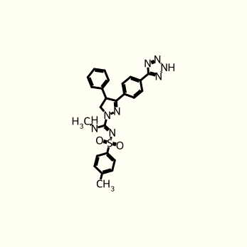 CN/C(=N\S(=O)(=O)c1ccc(C)cc1)N1CC(c2ccccc2)C(c2ccc(-c3nn[nH]n3)cc2)=N1